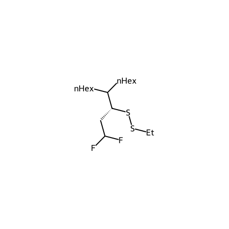 CCCCCCC(CCCCCC)[C@@H](CC(F)F)SSCC